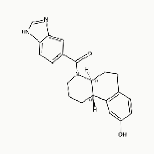 O=C(c1ccc2[nH]cnc2c1)N1CCC[C@H]2c3cc(O)ccc3CC[C@@H]21